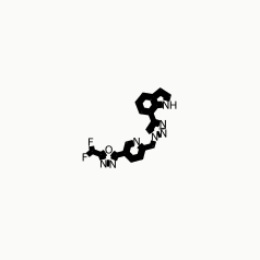 FC(F)c1nnc(-c2ccc(Cn3cc(-c4cccc5cc[nH]c45)nn3)nc2)o1